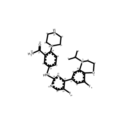 CC(C)N1CCOc2c(F)cc(-c3nc(Nc4ccc(N5CCNCC5)c(C(N)=O)c4)ncc3F)cc21